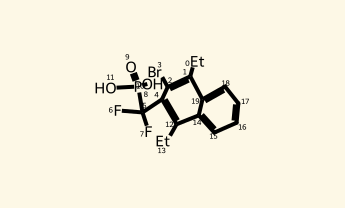 CCc1c(Br)c(C(F)(F)P(=O)(O)O)c(CC)c2ccccc12